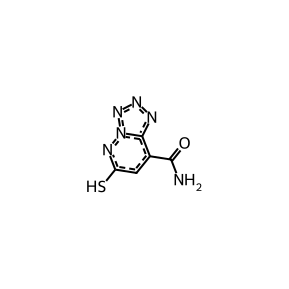 NC(=O)c1cc(S)nn2nnnc12